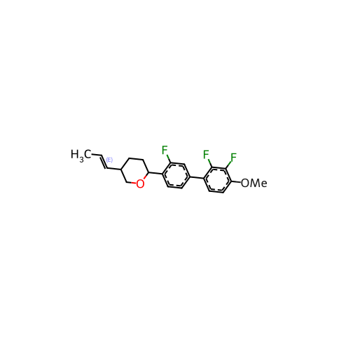 C/C=C/C1CCC(c2ccc(-c3ccc(OC)c(F)c3F)cc2F)OC1